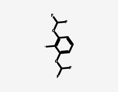 [CH2]c1c(OC(F)F)cccc1OC(F)F